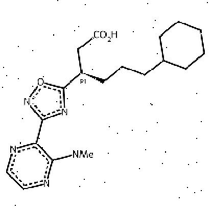 CNc1nccnc1-c1noc([C@H](CCCC2CCCCC2)CC(=O)O)n1